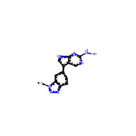 CC[C@H](C)Nc1ncc2c(-c3ccc4nnn(C)c4c3)c[nH]c2n1